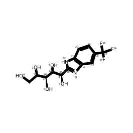 OCC(O)[C@H](O)C(O)[C@H](O)c1nc2cc(C(F)(F)F)ccc2[nH]1